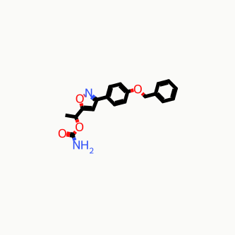 CC(OC(N)=O)c1cc(-c2ccc(OCc3ccccc3)cc2)no1